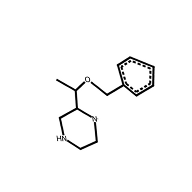 CC(OCc1ccccc1)C1CNCC[N]1